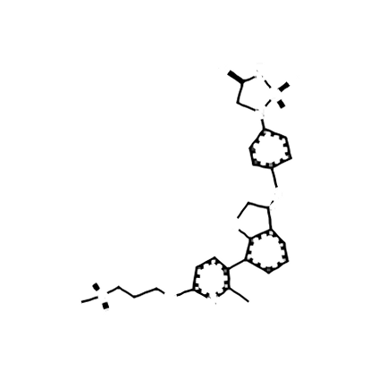 Cc1nc(OCCCS(C)(=O)=O)ccc1-c1cccc2c1OC[C@H]2Oc1ccc(N2CC(=O)NS2(=O)=O)cc1